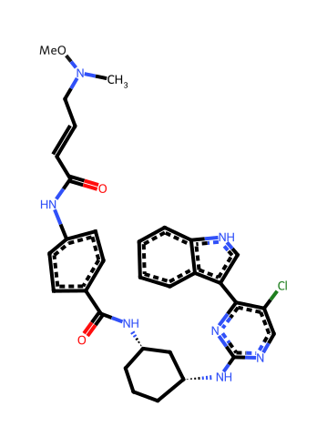 CON(C)C/C=C/C(=O)Nc1ccc(C(=O)N[C@H]2CCC[C@@H](Nc3ncc(Cl)c(-c4c[nH]c5ccccc45)n3)C2)cc1